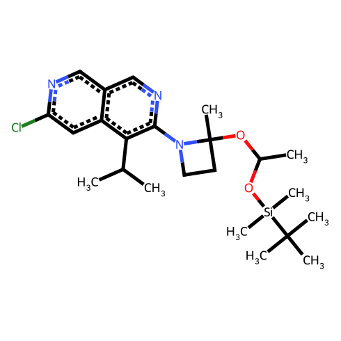 CC(OC1(C)CCN1c1ncc2cnc(Cl)cc2c1C(C)C)O[Si](C)(C)C(C)(C)C